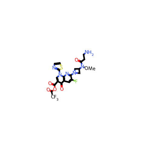 CON(C(=O)CCN)C1CN(c2nc3c(cc2F)c(=O)c(C(=O)OC(=O)C(F)(F)F)cn3-c2nccs2)C1